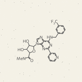 CNC(=O)C1OC(n2cnc3c(NCc4cccc(C(F)(F)F)c4)nc(-c4cccnc4)nc32)C(O)C1O